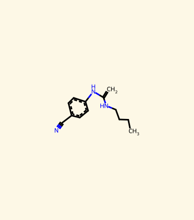 C=C(NCCCC)Nc1ccc(C#N)cc1